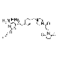 CCCCOc1nc(N)c2[nH]nc(Cc3ccc(CN4CCN(C(=O)CCN5C(=O)C=CC5=O)CC4)cc3)c2n1